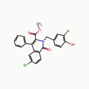 COC(=O)c1c(-c2ccccc2)c2cc(Br)ccc2c(=O)n1Cc1ccc(O)c(Br)c1